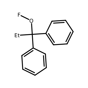 CCC(OF)(c1ccccc1)c1ccccc1